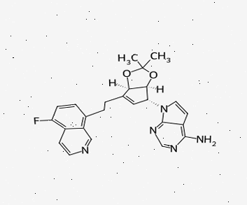 CC1(C)O[C@@H]2[C@H](O1)C(CCc1ccc(F)c3ccncc13)=C[C@H]2n1ccc2c(N)ncnc21